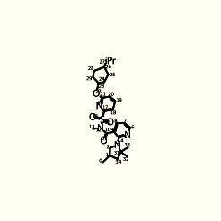 CC1CN(c2ncccc2C(=O)N(C)S(=O)(=O)c2cccc(OC3CCC(C(C)C)CC3)n2)C(C)(C)C1